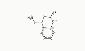 CC(C)C1CC(CN)c2ccccc2O1